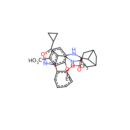 CCOc1cc(C(=O)O)ccc1NC(=O)C1C2CC(NCc3c(-c4ccccc4OC(F)(F)F)noc3C3CC3)CC1C2